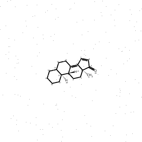 C[C@]12CC[C@H]3C(=C1C=CC2=O)CCC1CCCC[C@@H]13